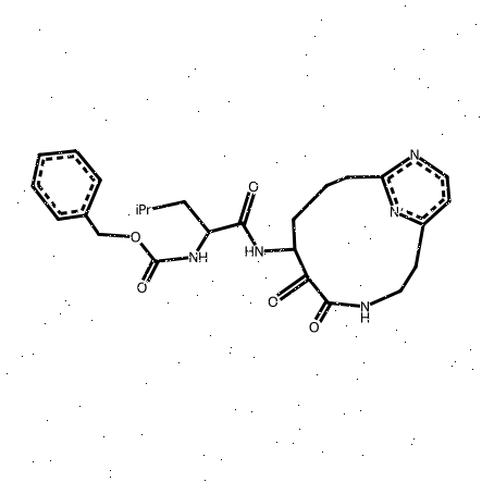 CC(C)CC(NC(=O)OCc1ccccc1)C(=O)NC1CCCc2nccc(n2)CCNC(=O)C1=O